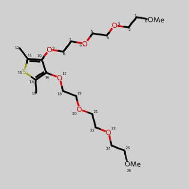 COCCOCCOCCOc1c(C)sc(C)c1OCCOCCOCCOC